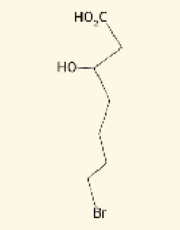 O=C(O)CC(O)CCCCBr